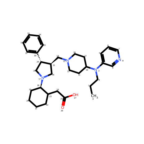 CCCN(c1cccnc1)C1CCN(C[C@H]2CN([C@@H]3CCCCC3CC(=O)O)C[C@@H]2c2ccccc2)CC1